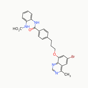 Cc1ncnc2c(OCCCc3ccc(C(=O)Nc4ccccc4NC(=O)O)cc3)cc(Br)cc12